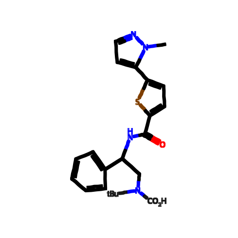 Cn1nccc1-c1ccc(C(=O)NC(CN(C(=O)O)C(C)(C)C)c2ccccc2)s1